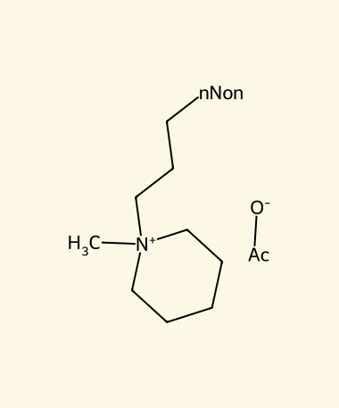 CC(=O)[O-].CCCCCCCCCCCC[N+]1(C)CCCCC1